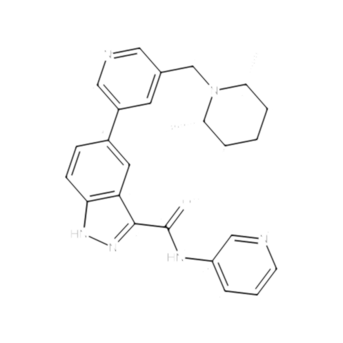 C[C@@H]1CCC[C@H](C)N1Cc1cncc(-c2ccc3[nH]nc(C(=O)Nc4cccnc4)c3c2)c1